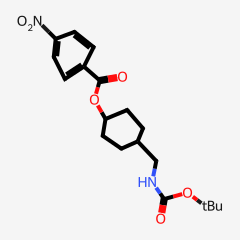 CC(C)(C)OC(=O)NCC1CCC(OC(=O)c2ccc([N+](=O)[O-])cc2)CC1